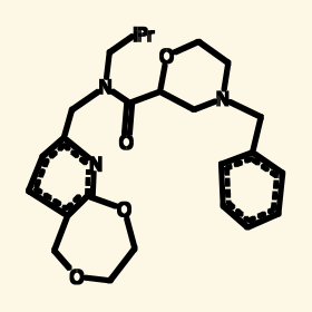 CC(C)CN(Cc1ccc2c(n1)OCCOC2)C(=O)C1CN(Cc2ccccc2)CCO1